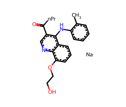 CCCC(=O)c1cnc2c(OCCO)cccc2c1Nc1ccccc1C.[Na]